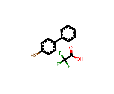 O=C(O)C(F)(F)F.Sc1ccc(-c2ccccc2)cc1